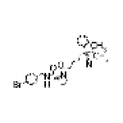 CC(C)[C@@](C#N)(CCCCC(=O)N1CCC[C@@H]1C(=O)NCc1ccc(Br)cc1)c1ccccc1